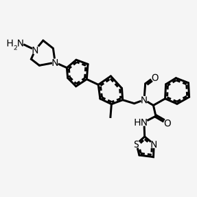 Cc1cc(-c2ccc(N3CCN(N)CC3)cc2)ccc1CN(C=O)C(C(=O)Nc1nccs1)c1ccccc1